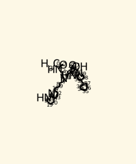 CC(=O)NCCN(CCCCc1ccc2c(n1)NCCC2)CC[C@](C=O)(CO)Nc1cc(-c2ccccc2)ccn1